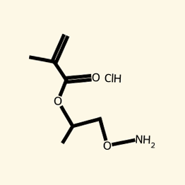 C=C(C)C(=O)OC(C)CON.Cl